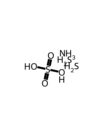 N.O=S(=O)(O)O.S.S